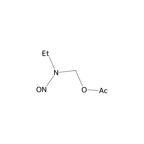 CCN(COC(C)=O)N=O